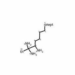 CCCCCCCCCCCC(N)C(N)(N)CC